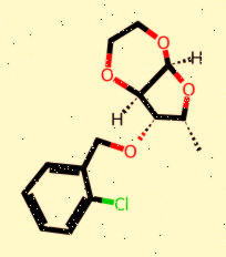 C[C@H]1O[C@@H]2OCCO[C@@H]2[C@H]1OCc1ccccc1Cl